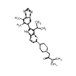 Cc1c(-c2[nH]c3ncc(C4CCN(CC(=O)N(C)C)CC4)nc3c2C(C)C)cn2ncnc2c1C